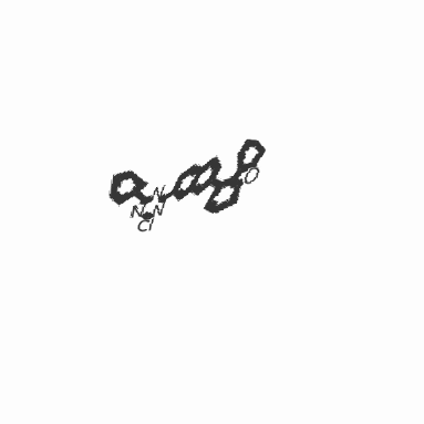 Clc1nc(-c2ccccc2)nc(-c2ccc3ccc(-c4cccc5oc6ccccc6c45)cc3c2)n1